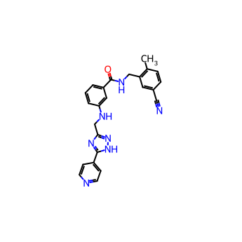 Cc1ccc(C#N)cc1CNC(=O)c1cccc(NCc2n[nH]c(-c3ccncc3)n2)c1